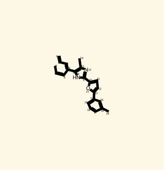 C=C/C=C(\C=C/C)c1[nH]c(-c2ccc(-c3cccc(C)c3)o2)nc1C